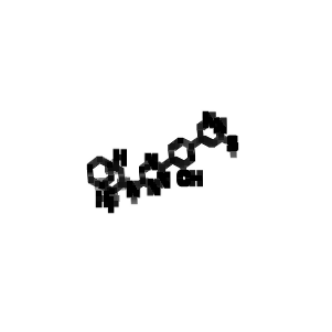 CSc1cc(-c2ccc(-c3ncc(N(C)[C@H]4C[C@@H]5CCC[C@@H](C5)[C@H]4F)nn3)c(O)c2)cnn1